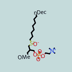 CCCCCCCCCCCCCCCCCC[S+]([O-])CC(COC)COP(=O)([O-])OCC[N+](C)(C)C